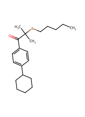 CCCCCSC(C)(C)C(=O)c1ccc(C2CCCCC2)cc1